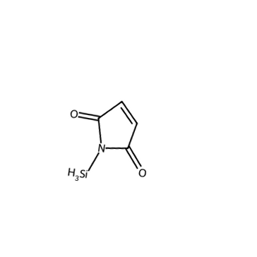 O=C1C=CC(=O)N1[SiH3]